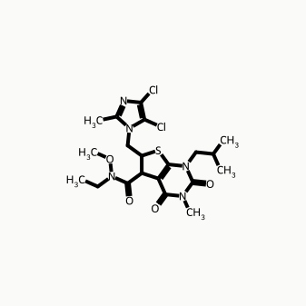 CCN(OC)C(=O)C1c2c(n(CC(C)C)c(=O)n(C)c2=O)SC1Cn1c(C)nc(Cl)c1Cl